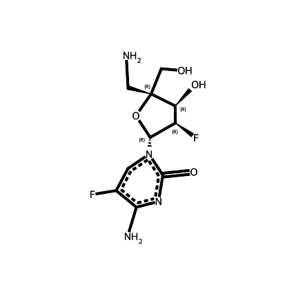 NC[C@]1(CO)O[C@@H](n2cc(F)c(N)nc2=O)[C@H](F)[C@@H]1O